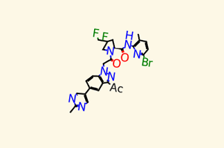 CC(=O)c1nn(CC(=O)N2C[C@](F)(CF)C[C@H]2C(=O)Nc2nc(Br)ccc2C)c2ccc(-c3cnc(C)nc3)cc12